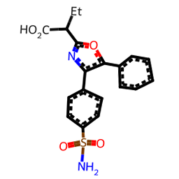 CCC(C(=O)O)c1nc(-c2ccc(S(N)(=O)=O)cc2)c(-c2ccccc2)o1